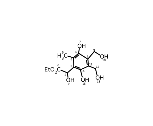 CCOC(=O)C(O)c1c(C)c(O)c(CO)c(CO)c1O